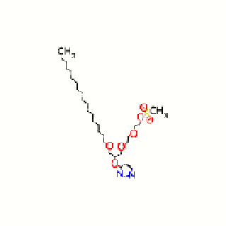 CCCCCCCCCCCCCCCCCCOCC(COCCOCCOS(C)(=O)=O)Oc1ccncn1